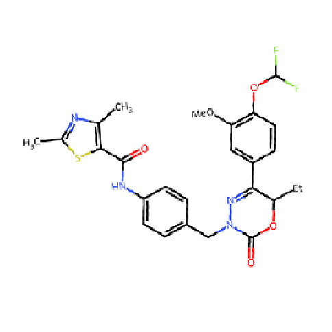 CCC1OC(=O)N(Cc2ccc(NC(=O)c3sc(C)nc3C)cc2)N=C1c1ccc(OC(F)F)c(OC)c1